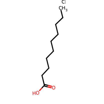 CCCCCCCCCC(=O)O.[C]